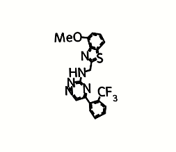 COc1cccc2sc(CNc3nncc(-c4ccccc4C(F)(F)F)n3)nc12